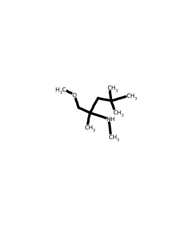 CNC(C)(COC)CC(C)(C)C